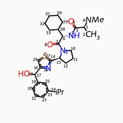 CN[C@@H](C)C(=O)N[C@H](C(=O)N1CCC[C@H]1c1nc(C(O)c2cccc(C(C)C)c2)cs1)C1CCCCC1